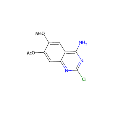 COc1cc2c(N)nc(Cl)nc2cc1OC(C)=O